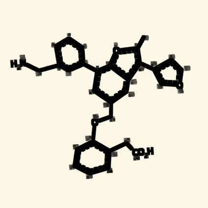 Cc1oc2c(-c3cccc(CN)c3)cc(COc3ccccc3CC(=O)O)cc2c1-c1ccoc1